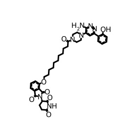 Nc1nnc(-c2ccccc2O)cc1N1CCN(C(=O)CCCCCCCCCCOc2cccc3c2C(=O)N(C2CCC(=O)NC2=O)C3=O)CC1